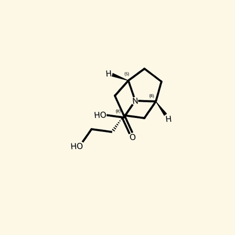 O=C(O)N1[C@@H]2CC[C@H]1C[C@@H](CCO)C2